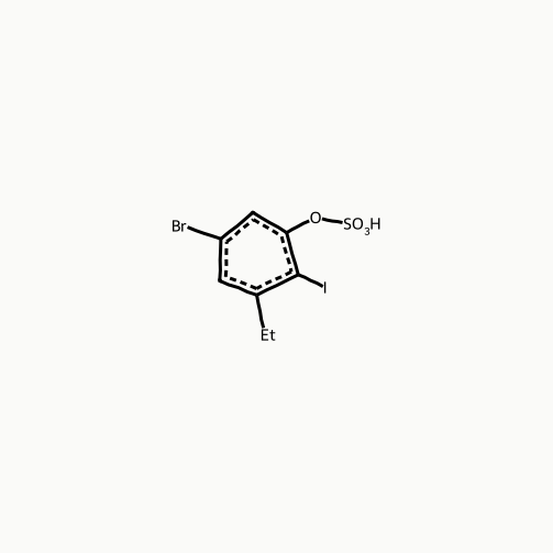 CCc1cc(Br)cc(OS(=O)(=O)O)c1I